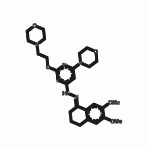 COc1cc2c(cc1OC)C(=NNc1cc(N3CCOCC3)nc(OCCN3CCOCC3)n1)CCC2